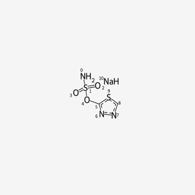 NS(=O)(=O)Oc1nncs1.[NaH]